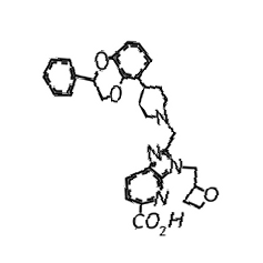 O=C(O)c1ccc2nc(CN3CCC(c4cccc5c4OCC(c4ccccc4)O5)CC3)n(CC3CCO3)c2n1